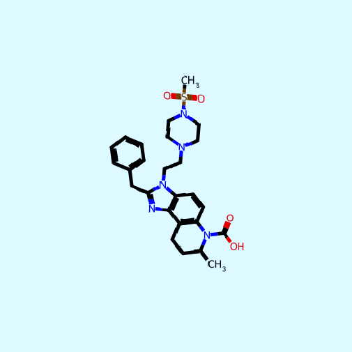 CC1CCc2c(ccc3c2nc(Cc2ccccc2)n3CCN2CCN(S(C)(=O)=O)CC2)N1C(=O)O